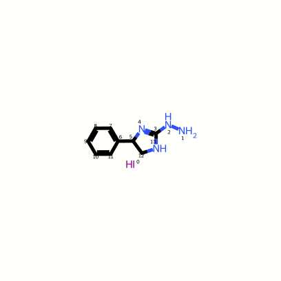 I.NNC1=NC(c2ccccc2)CN1